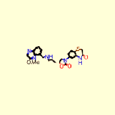 COc1cnc2cccc(CNCCC[C@@H]3CN(c4ccc5c(c4)NC(=O)CS5)C(=O)O3)c2n1